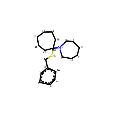 c1ccc(CSC2(N3CCCCCC3)CCCCCC2)cc1